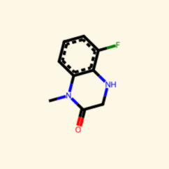 CN1C(=O)CNc2c(F)cccc21